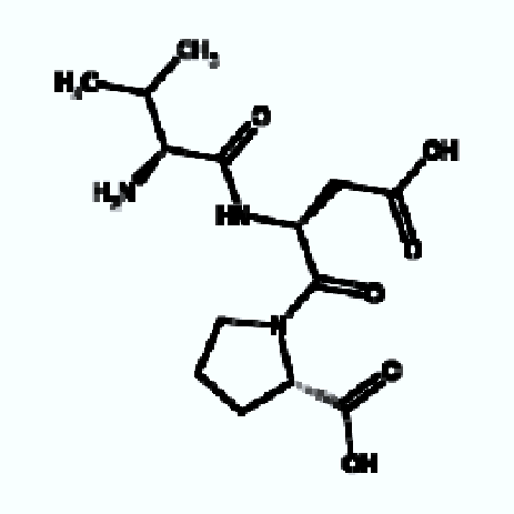 CC(C)[C@H](N)C(=O)N[C@@H](CC(=O)O)C(=O)N1CCC[C@H]1C(=O)O